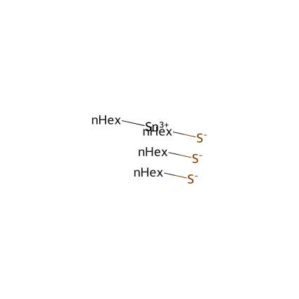 CCCCCC[S-].CCCCCC[S-].CCCCCC[S-].CCCCC[CH2][Sn+3]